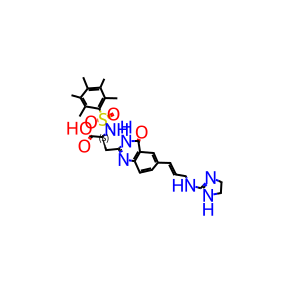 Cc1c(C)c(C)c(S(=O)(=O)N[C@@H](Cc2nc3ccc(C=CCNC4=NCCN4)cc3c(=O)[nH]2)C(=O)O)c(C)c1C